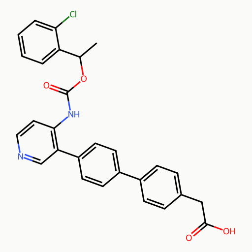 CC(OC(=O)Nc1ccncc1-c1ccc(-c2ccc(CC(=O)O)cc2)cc1)c1ccccc1Cl